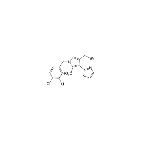 CC(C)Cc1cn(Cc2ccc(Cl)c(Cl)c2)c(C(=O)O)c1-c1nccs1